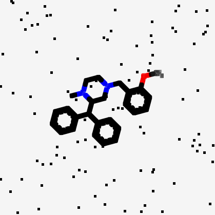 CN1CCN(Cc2ccccc2OC(F)(F)F)CC1C(c1ccccc1)c1ccccc1